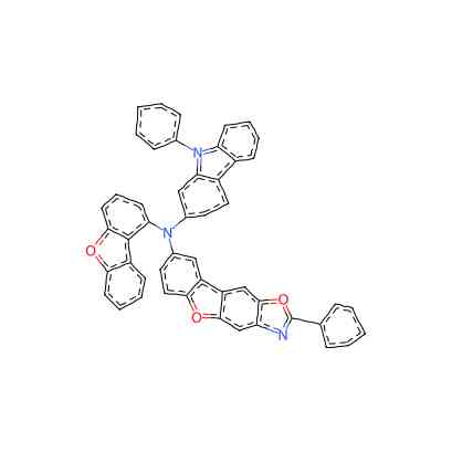 c1ccc(-c2nc3cc4oc5ccc(N(c6ccc7c8ccccc8n(-c8ccccc8)c7c6)c6cccc7oc8ccccc8c67)cc5c4cc3o2)cc1